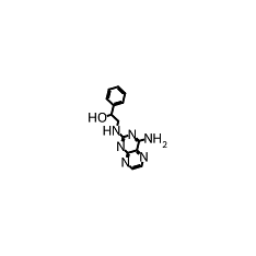 Nc1nc(NCC(O)c2ccccc2)nc2nccnc12